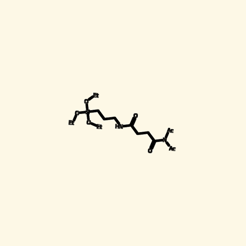 CCO[Si](CCCNC(=O)CCC(=O)N(C(C)=O)C(C)=O)(OCC)OCC